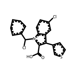 O=C(O)c1c(-c2ccsc2)c2cc(Cl)ccc2n1C(Cl)c1ccccc1